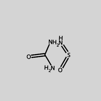 N=S=O.NC(N)=O